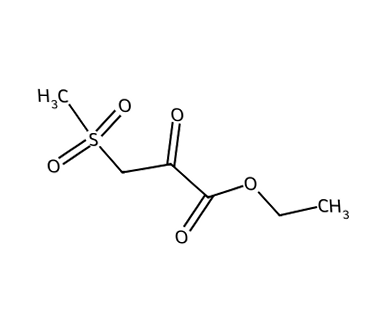 CCOC(=O)C(=O)CS(C)(=O)=O